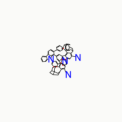 N#Cc1cc2c(c3c1C1CC4CC(C1)CC3C4)c1cc(-c3c(-c4ccccc4)ccc4c5ccccc5n(-c5cccc(-c6ccccc6)c5)c34)cc3c4c5c(c(C#N)cc4n2c13)C1CC2CC3CC5CC23C1